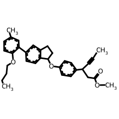 CC#CC(CC(=O)OC)c1ccc(OC2CCc3cc(-c4cc(C)ccc4OCCCC)ccc32)cc1